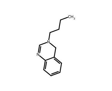 CCCCN1C=Nc2ccccc2C1